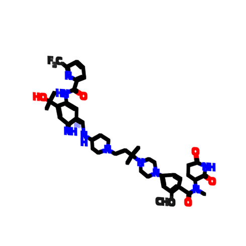 CN(C(=O)c1ccc(N2CCN(C(C)(C)CCN3CCC(N/C=C4/C=C(NC(=O)c5cccc(C(F)(F)F)n5)C(C(C)(C)O)=CC4=N)CC3)CC2)cc1C=O)C1CCC(=O)NC1=O